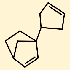 C1=CCC(C23C=CC(CC2)C3)C1